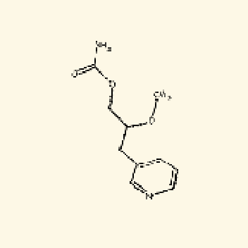 COC(COC(N)=O)Cc1cccnc1